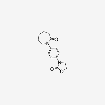 O=C1CCCCCN1c1ccc(N2CCOC2=O)cc1